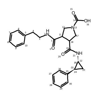 O=C(NCCc1ccccc1)C1CN(C(=O)O)CC1C(=O)N[C@@H]1C[C@H]1c1ccccc1